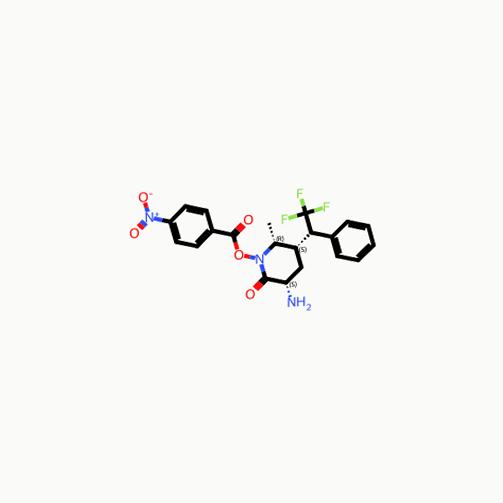 C[C@@H]1[C@H](C(c2ccccc2)C(F)(F)F)C[C@H](N)C(=O)N1OC(=O)c1ccc([N+](=O)[O-])cc1